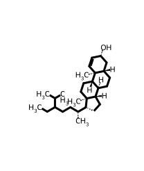 CCC(CC[C@@H](C)[C@H]1CC[C@H]2[C@@H]3CC[C@H]4C[C@@H](O)C=C[C@]4(C)[C@H]3CC[C@]12C)C(C)C